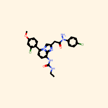 CCNC(=O)Nc1ccc(-c2ccc(OC)cc2Cl)n2cc(CC(=O)N(N)c3ccc(Cl)cc3)nc12